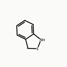 [C]1SNc2ccccc21